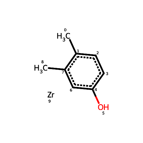 Cc1ccc(O)cc1C.[Zr]